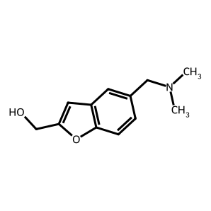 CN(C)Cc1ccc2oc(CO)cc2c1